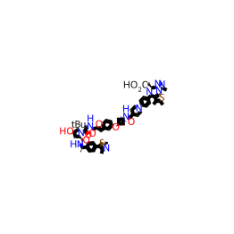 Cc1ncsc1-c1ccc([C@H](C)NC(=O)[C@@H]2C[C@@H](O)CN2C(=O)[C@@H](NC(=O)c2cc3cc(O[C@H]4C[C@H](NC(=O)C5CCN(c6ccc(C7=N[C@@H](CC(=O)O)c8nnc(C)n8-c8sc(C)c(C)c87)cc6)CC5)C4)ccc3o2)C(C)(C)C)cc1